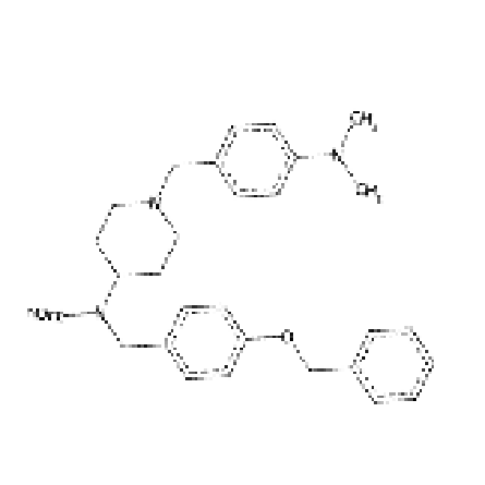 CCCCCCCCN(Cc1ccc(OCc2ccccc2)cc1)C1CCN(Cc2ccc(N(C)C)cc2)CC1